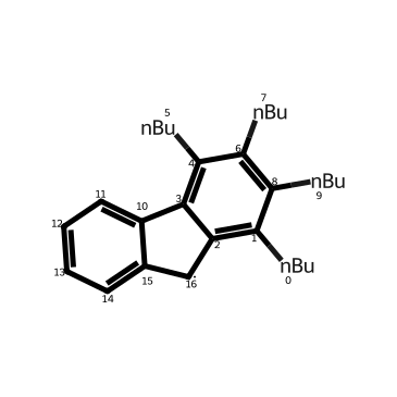 CCCCc1c2c(c(CCCC)c(CCCC)c1CCCC)-c1ccccc1[CH]2